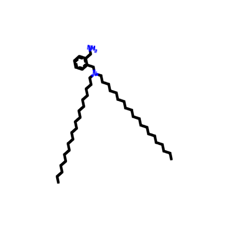 CCCCCCCCCCCCCCCCCCCCN(CCCCCCCCCCCCCCCCCCCC)Cc1ccccc1CN